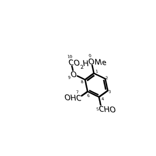 COc1ccc(C=O)c(C=O)c1OC(=O)O